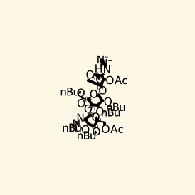 CCCCOC(=O)[C@@H]1O[C@@H](O[C@@H]2C3CO[C@H](O3)C(N=[N+]=[N-])C2OC(C)=O)C(OCCCC)C(OCCCC)[C@@H]1O[C@H]1O[C@@H](COC(C)=O)[C@@H](OCCCC)C(OCCCC)C1N=[N+]=[N-]